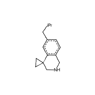 CC(C)Cc1ccc2c(c1)C1(CC1)CNC2